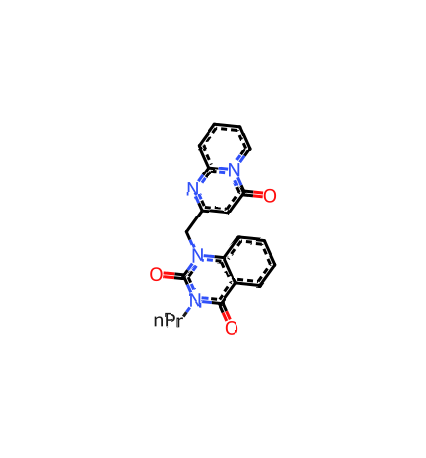 CCCn1c(=O)c2ccccc2n(Cc2cc(=O)n3ccccc3n2)c1=O